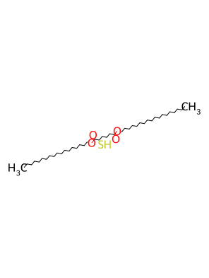 CCCCCCCCCCCCCCCCCCOC(=O)CCCC(S)C(=O)OCCCCCCCCCCCCCCCCCC